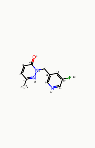 N#Cc1ccc(=O)n(Cc2cncc(F)c2)n1